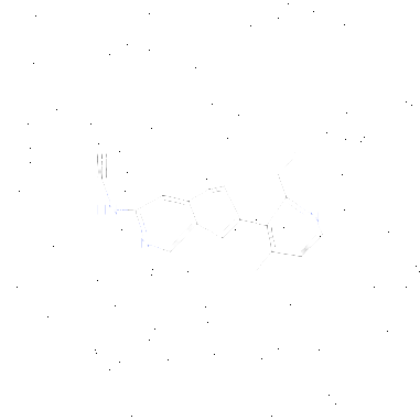 C#CNc1cc2ccc(-c3c(C)ccnc3CC(F)(F)F)cc2cn1